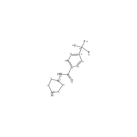 O=C(NN1CCNCC1)c1ccc(C(F)(F)F)cn1